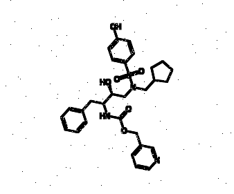 O=C(NC(Cc1ccccc1)[C@@H](O)CN(CC1CCCC1)S(=O)(=O)c1ccc(O)cc1)OCc1cccnc1